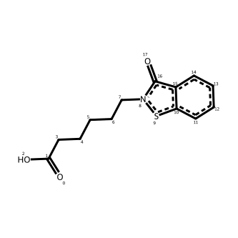 O=C(O)CCCCCn1sc2ccccc2c1=O